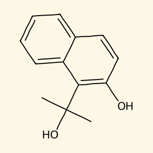 CC(C)(O)c1c(O)ccc2ccccc12